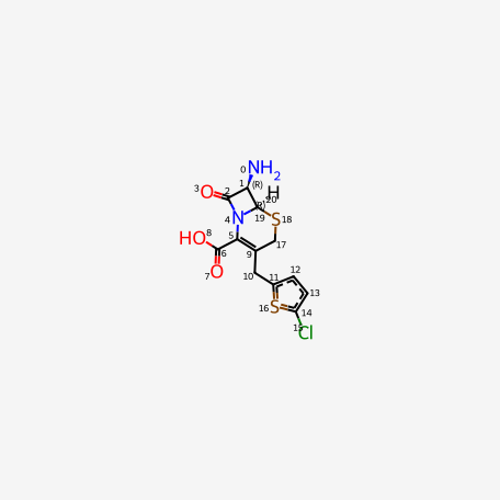 N[C@@H]1C(=O)N2C(C(=O)O)=C(Cc3ccc(Cl)s3)CS[C@H]12